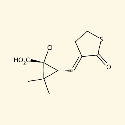 CC1(C)[C@@H](C=C2CCSC2=O)[C@]1(Cl)C(=O)O